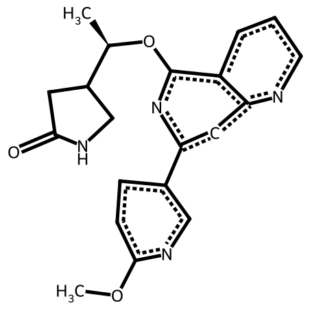 COc1ccc(-c2cc3ncccc3c(O[C@H](C)C3CNC(=O)C3)n2)cn1